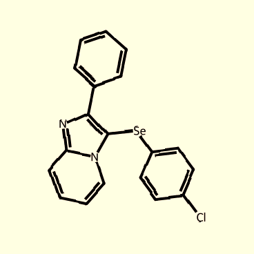 Clc1ccc([Se]c2c(-c3ccccc3)nc3ccccn23)cc1